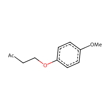 COc1ccc(OCCC(C)=O)cc1